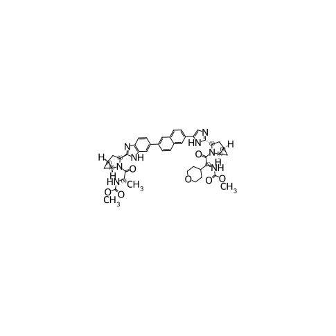 COC(=O)N[C@@H](C)C(=O)N1[C@@H]2C[C@@H]2C[C@H]1c1nc2ccc(-c3ccc4cc(-c5cnc([C@@H]6C[C@H]7C[C@H]7N6C(=O)[C@@H](NC(=O)OC)C6CCOCC6)[nH]5)ccc4c3)cc2[nH]1